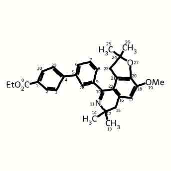 CCOC(=O)c1ccc(-c2cccc(C3=NC(C)(C)Cc4cc(OC)c5c(c43)CC(C)(C)O5)c2)cc1